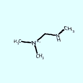 CNC[N+](C)C